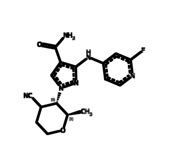 C[C@H]1OCCC(C#N)[C@@H]1n1cc(C(N)=O)c(Nc2ccnc(F)c2)n1